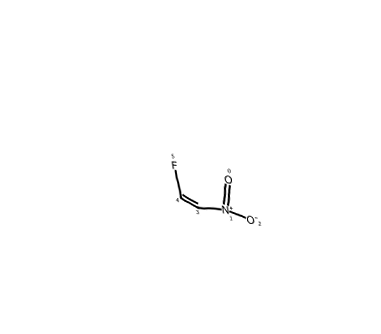 O=[N+]([O-])/C=C\F